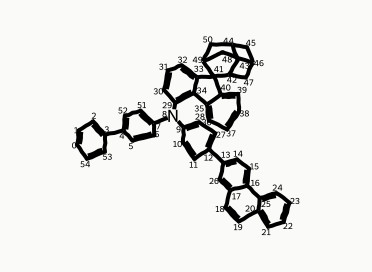 c1ccc(-c2ccc(N(c3ccc(-c4ccc5c(ccc6ccccc65)c4)cc3)c3cccc4c3-c3ccccc3C43C4CC5CC(C4)CC3C5)cc2)cc1